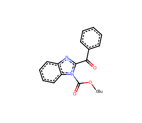 CC(C)(C)OC(=O)n1c(C(=O)c2ccccc2)nc2ccccc21